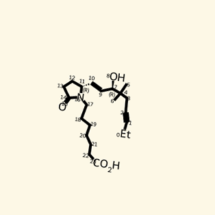 CCC#CCC(C)(C)[C@H](O)C=C[C@H]1CCC(=O)N1CCCCCCC(=O)O